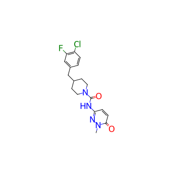 Cn1nc(NC(=O)N2CCC(Cc3ccc(Cl)c(F)c3)CC2)ccc1=O